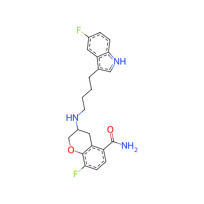 NC(=O)c1ccc(F)c2c1CC(NCCCCc1c[nH]c3ccc(F)cc13)CO2